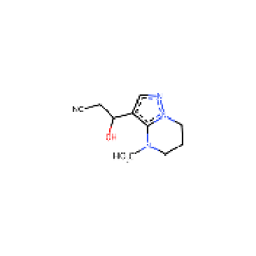 N#CCC(O)c1cnn2c1N(C(=O)O)CCC2